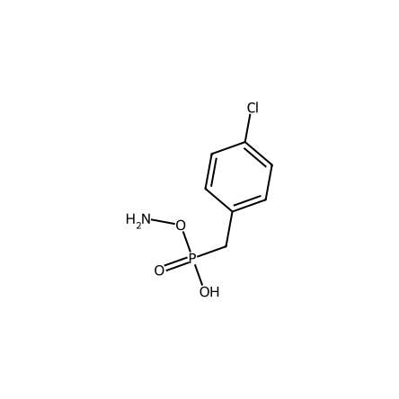 NOP(=O)(O)Cc1ccc(Cl)cc1